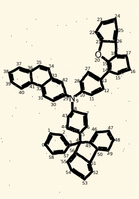 c1ccc(C2(c3ccc(N(c4ccc(-c5cccc6c5oc5ccccc56)cc4)c4ccc5c(ccc6ccccc65)c4)cc3)c3ccccc3-c3ccccc32)cc1